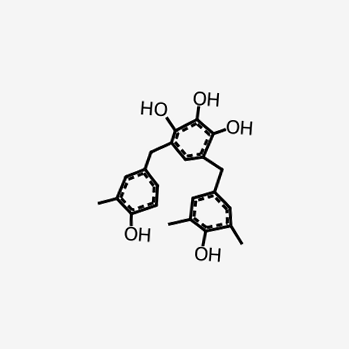 Cc1cc(Cc2cc(Cc3cc(C)c(O)c(C)c3)c(O)c(O)c2O)ccc1O